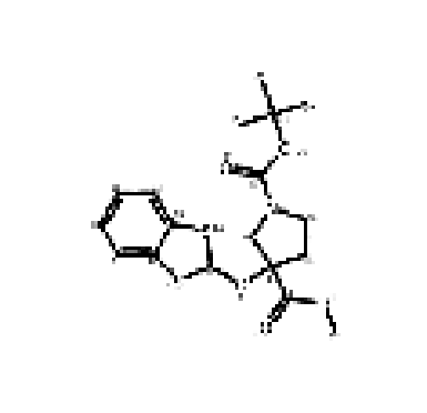 COC(=O)C1(OC2Sc3ccccc3S2)CCN(C(=O)OC(C)(C)C)C1